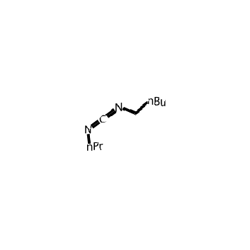 CCCCCN=C=NCCC